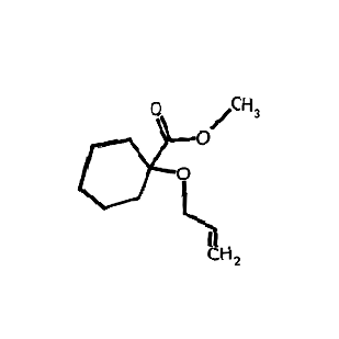 C=CCOC1(C(=O)OC)CCCCC1